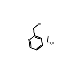 BrCc1ccccn1.CC(=O)O